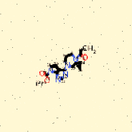 C=CC(=O)N1CCCN(c2ncnc3c2ccn3C(=O)OC(C)C)CC12CC2